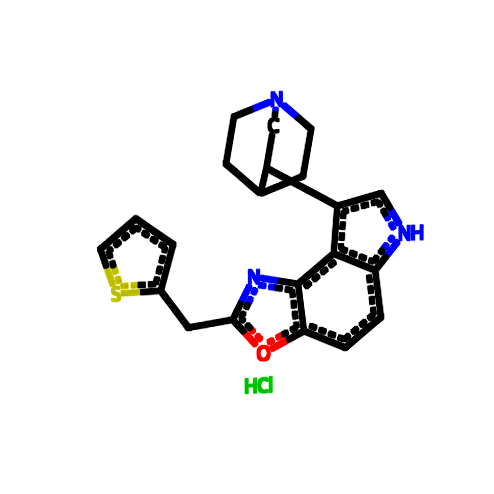 Cl.c1csc(Cc2nc3c(ccc4[nH]cc(C5CN6CCC5CC6)c43)o2)c1